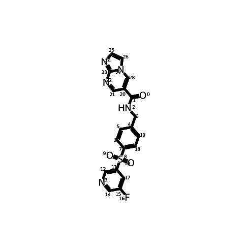 O=C(NCc1ccc(S(=O)(=O)c2cncc(F)c2)cc1)c1cnc2nccn2c1